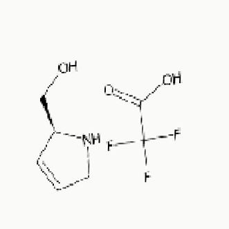 O=C(O)C(F)(F)F.OC[C@@H]1C=CCN1